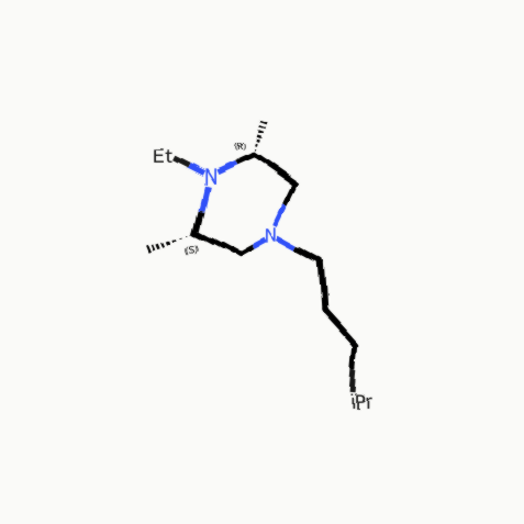 CCN1[C@H](C)CN(CCCC(C)C)C[C@@H]1C